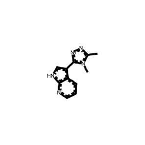 Cc1nnc(-c2c[nH]c3ncccc23)n1C